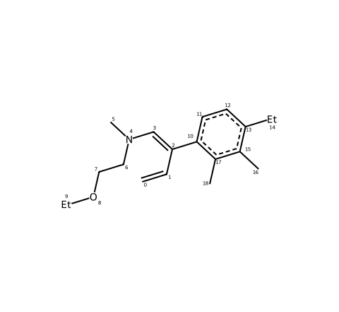 C=C/C(=C\N(C)CCOCC)c1ccc(CC)c(C)c1C